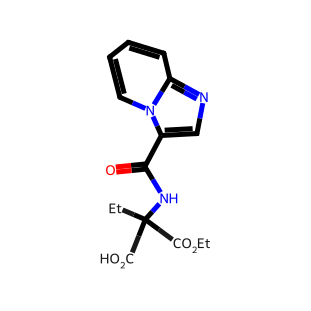 CCOC(=O)C(CC)(NC(=O)c1cnc2ccccn12)C(=O)O